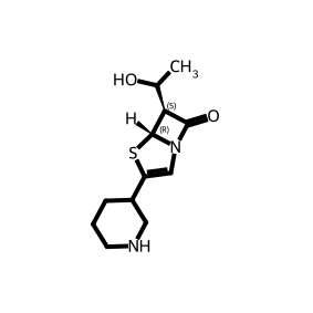 CC(O)[C@H]1C(=O)N2C=C(C3CCCNC3)S[C@H]12